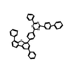 c1ccc(-c2ccc(-c3nc(-c4ccccc4)nc(-c4ccc(-c5cc(-c6ccccc6)cc6c5sc5c(-c7ccccc7)cccc56)cc4)n3)cc2)cc1